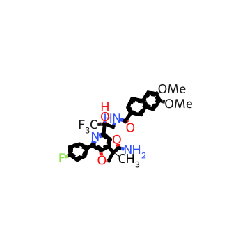 COc1cc2ccc(C(=O)NCC(O)(c3cc4c(c(-c5ccc(F)cc5)n3)OC[C@]4(C)C(N)=O)C(F)(F)F)cc2cc1OC